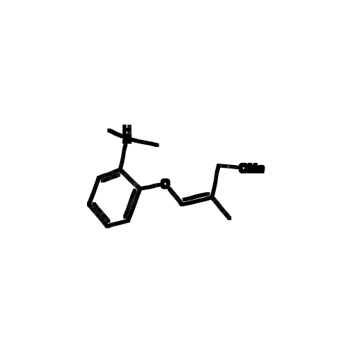 COCC(C)=COc1ccccc1[SiH](C)C